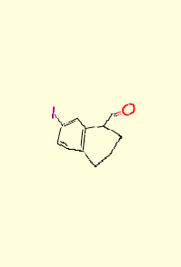 O=CC1CCCc2ccc(I)cc21